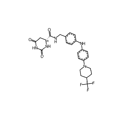 O=C1C[C@H](C(=O)NCc2ccc(Nc3ccc(N4CCC(C(F)(F)F)CC4)cc3)cc2)NC(=O)N1